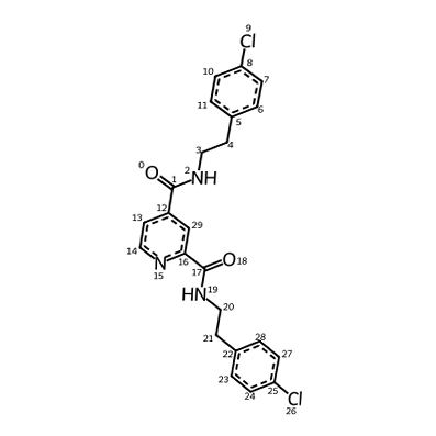 O=C(NCCc1ccc(Cl)cc1)c1ccnc(C(=O)NCCc2ccc(Cl)cc2)c1